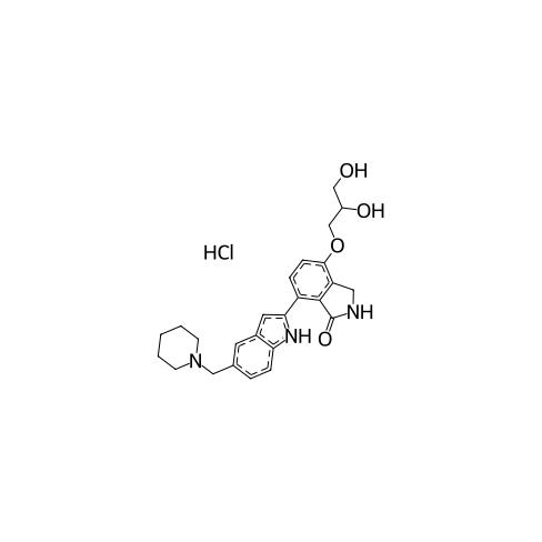 Cl.O=C1NCc2c(OCC(O)CO)ccc(-c3cc4cc(CN5CCCCC5)ccc4[nH]3)c21